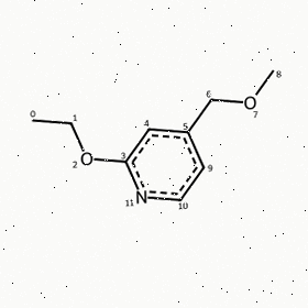 CCOc1cc(COC)ccn1